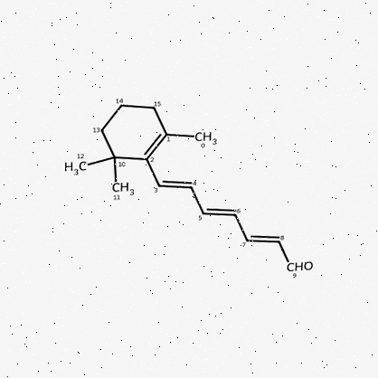 CC1=C(/C=C/C=C/C=C/C=O)C(C)(C)CCC1